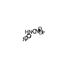 CN1Cc2ccc(NC3CCN(C(=O)OC(C)(C)C)CC3)cc2C1